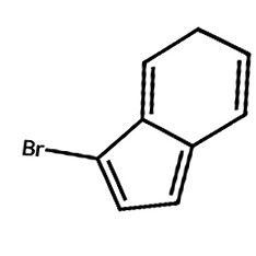 BrC1=CC=C2C=CCC=C12